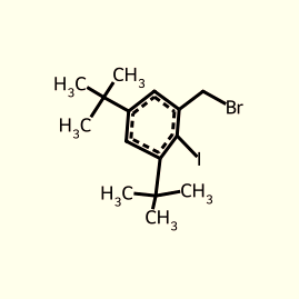 CC(C)(C)c1cc(CBr)c(I)c(C(C)(C)C)c1